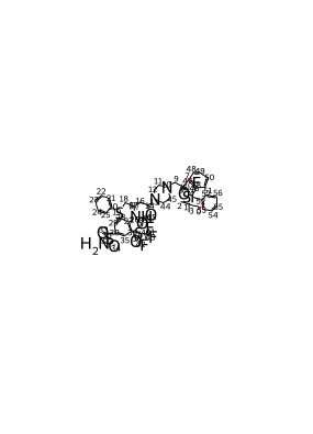 CC(C)(C)[Si](O[C@H](CF)CN1CCN(C(=O)C[C@H](CSc2ccccc2)Nc2ccc(S(N)(=O)=O)cc2S(=O)(=O)C(F)(F)F)CC1)(c1ccccc1)c1ccccc1